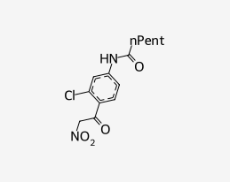 CCCCCC(=O)Nc1ccc(C(=O)C[N+](=O)[O-])c(Cl)c1